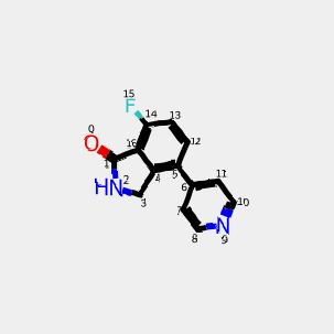 O=C1NCc2c(-c3ccncc3)ccc(F)c21